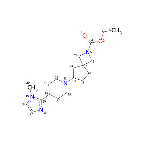 CCOC(=O)N1CC2(CCC(N3CCC(c4nccn4C)CC3)C2)C1